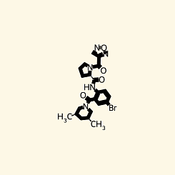 C[C@@H]1C[C@H](C)CN(C(=O)c2cc(Br)ccc2NC(=O)[C@@H]2CCCN2C(=O)c2cnon2)C1